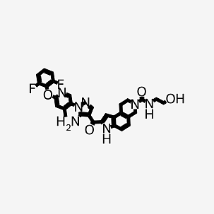 Cc1cc(Oc2c(F)cccc2F)ncc1-n1ncc(C(=O)c2cc3c4c(ccc3[nH]2)CN(C(=O)NCCO)CC4)c1N